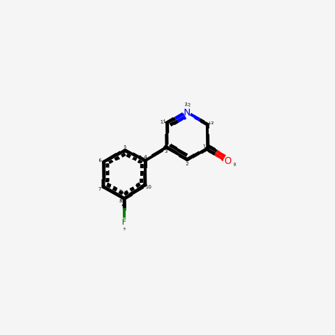 O=C1C=C(c2cccc(F)c2)C=NC1